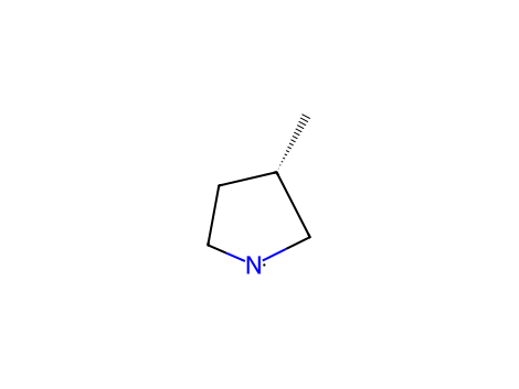 C[C@H]1CC[N]C1